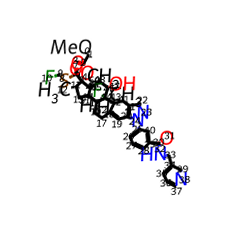 COCC(=O)O[C@]1(C(=O)SCF)[C@H](C)C[C@H]2[C@@H]3CCC4=Cc5c(cnn5-c5cccc(C(=O)NCc6cccnc6)c5)C[C@]4(C)[C@@]3(F)C(O)CC21C